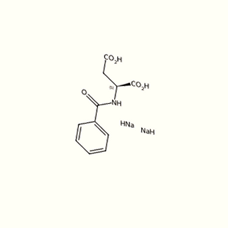 O=C(O)C[C@H](NC(=O)c1ccccc1)C(=O)O.[NaH].[NaH]